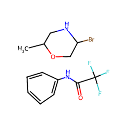 CC1CNC(Br)CO1.O=C(Nc1ccccc1)C(F)(F)F